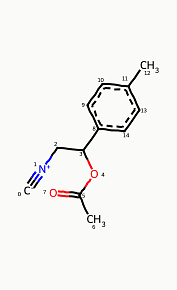 [C-]#[N+]CC(OC(C)=O)c1ccc(C)cc1